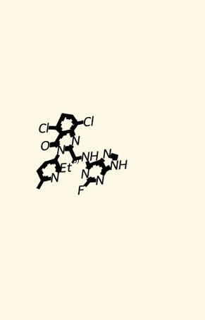 CC[C@H](Nc1nc(F)nc2[nH]cnc12)c1nc2c(Cl)ccc(Cl)c2c(=O)n1-c1ccc(C)nc1